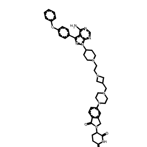 Nc1ncnc2c1c(-c1ccc(Oc3ccccc3)cc1)nn2C1CCN(CCN2CC(CN3CCN(c4ccc5c(c4)CN(C4CCC(=O)NC4=O)C5=O)CC3)C2)CC1